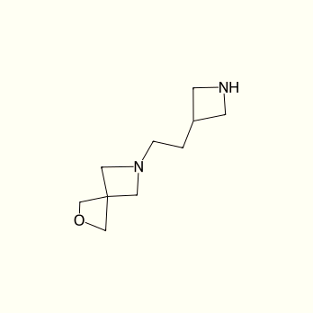 C(CN1CC2(COC2)C1)C1CNC1